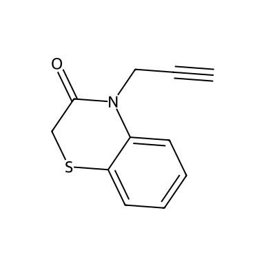 C#CCN1C(=O)CSc2ccccc21